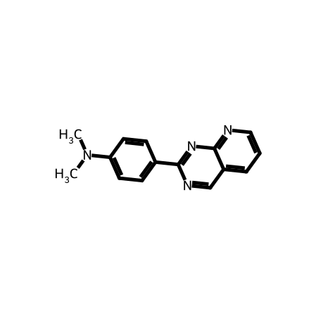 CN(C)c1ccc(-c2ncc3cccnc3n2)cc1